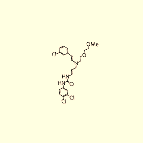 COCCOCCN(CCCNC(=O)Nc1ccc(Cl)c(Cl)c1)CCc1cccc(Cl)c1